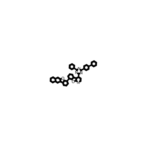 c1ccc(-c2ccc(-c3nc(-c4ccccc4)nc(-c4ccnc5oc6c(-c7cccc8c7oc7cc9ccccc9cc78)cccc6c45)n3)cc2)cc1